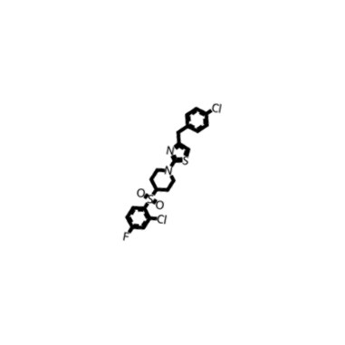 O=S(=O)(c1ccc(F)cc1Cl)C1CCN(c2nc(Cc3ccc(Cl)cc3)cs2)CC1